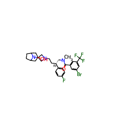 CN(C[C@@H](CCN1CC(N2C3CCC2CC(O)C3)C1)c1ccc(F)cc1)C(=O)c1cc(Br)cc(C(F)(F)F)c1